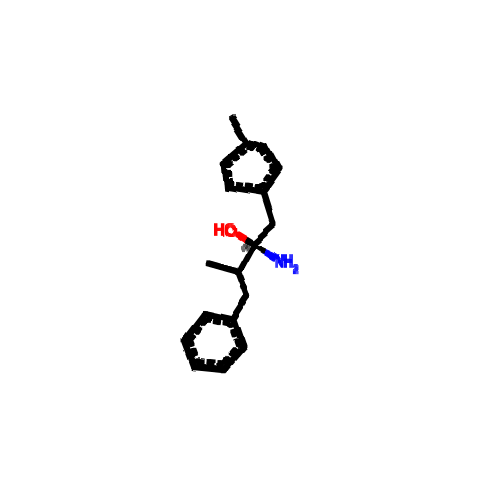 Cc1ccc(C[C@@](N)(O)C(C)Cc2ccccc2)cc1